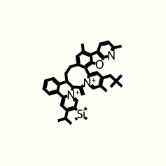 C=C1C2C(CCc3cc(C)c4c(oc5nc(C)ccc54)c3-c3cc(CC(C)(C)C)c(C)c[n+]31)c1ccccc1-c1cc(C(C)C)c([Si](C)(C)C)c[n+]12